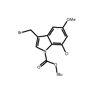 COc1cc(Cl)c2c(c1)c(CBr)cn2C(=O)OC(C)(C)C